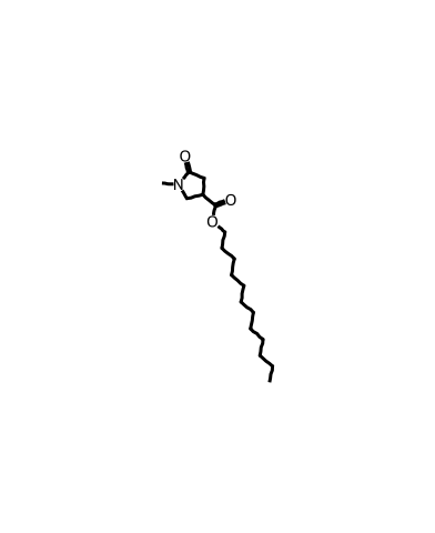 CCCCCCCCCCCCOC(=O)C1CC(=O)N(C)C1